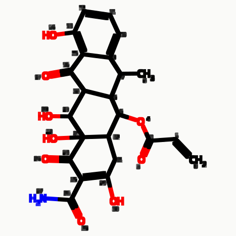 C=CC(=O)OC1C2C(C)c3cccc(O)c3C(=O)C2C(O)C2(O)C(=O)C(C(N)=O)=C(O)CC12